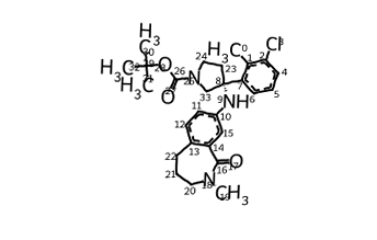 Cc1c(Cl)cccc1[C@]1(Nc2ccc3c(c2)C(=O)N(C)CCC3)CCN(C(=O)OC(C)(C)C)C1